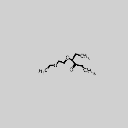 CCOCCOC(CC)C(=O)CC